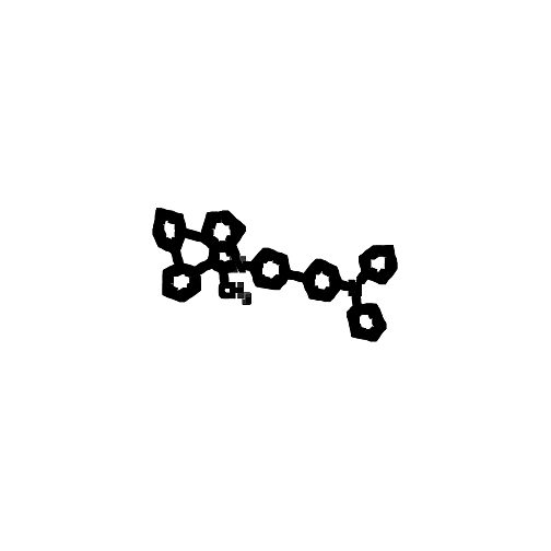 Cc1c2c3c(cccc3n1-c1ccc(-c3ccc(N(c4ccccc4)c4ccccc4)cc3)cc1)-c1ccccc1-c1ccccc1-2